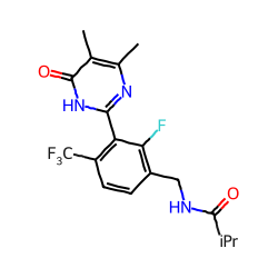 Cc1nc(-c2c(C(F)(F)F)ccc(CNC(=O)C(C)C)c2F)[nH]c(=O)c1C